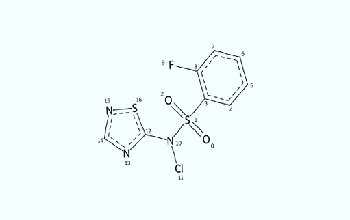 O=S(=O)(c1ccccc1F)N(Cl)c1ncns1